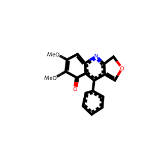 COC1=C(OC)C(=O)c2c(-c3ccccc3)c3c(nc2=C1)COC=3